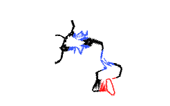 Cc1nc(CN2CCOCC2)nc(C)c1C